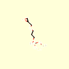 CCCO[SiH](OCCC)OCCCOCC1CO1